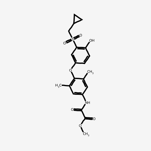 COC(=O)C(=O)Nc1cc(C)c(Oc2ccc(O)c(S(=O)(=O)CC3CC3)c2)c(C)c1